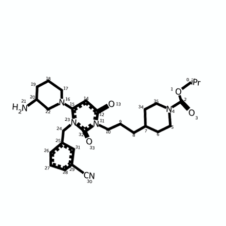 CC(C)OC(=O)N1CCC(CCCn2c(=O)cc(N3CCCC(N)C3)n(Cc3cccc(C#N)c3)c2=O)CC1